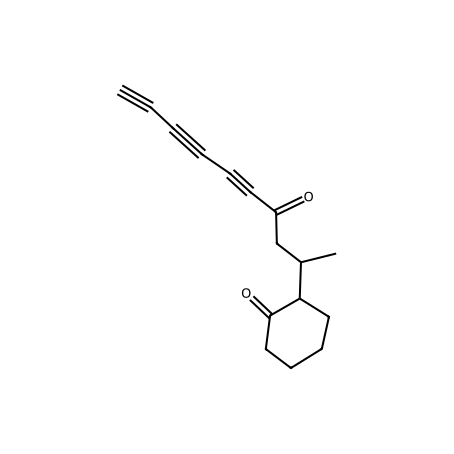 C#CC#CC#CC(=O)CC(C)C1CCCCC1=O